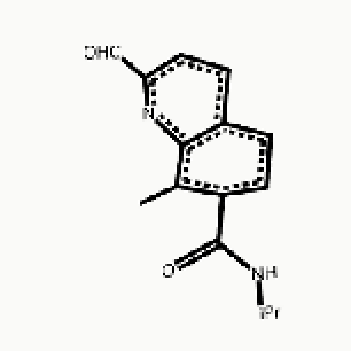 Cc1c(C(=O)NC(C)C)ccc2ccc(C=O)nc12